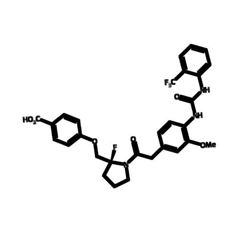 COc1cc(CC(=O)N2CCC[C@]2(F)COc2ccc(C(=O)O)cc2)ccc1NC(=O)Nc1ccccc1C(F)(F)F